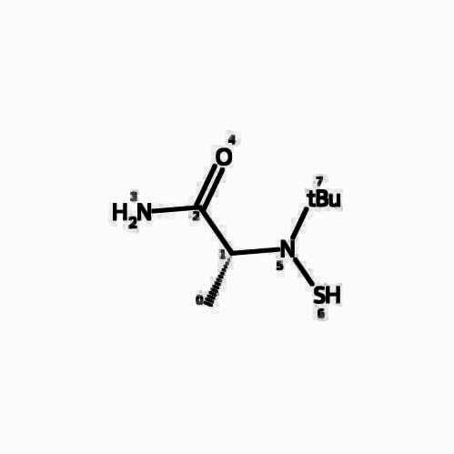 C[C@H](C(N)=O)N(S)C(C)(C)C